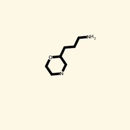 NCCCC1C[N]CCO1